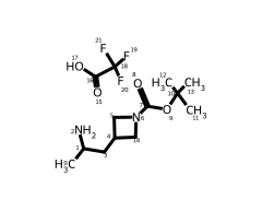 CC(N)CC1CN(C(=O)OC(C)(C)C)C1.O=C(O)C(F)(F)F